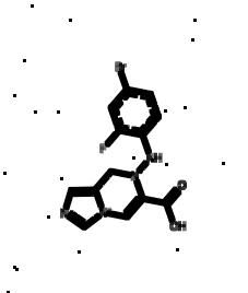 O=C(O)C1=C[N+]2C=NC=C2CN1Nc1ccc(Br)cc1F